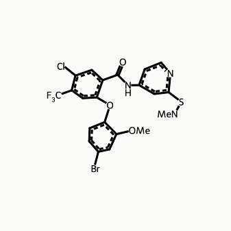 CNSc1cc(NC(=O)c2cc(Cl)c(C(F)(F)F)cc2Oc2ccc(Br)cc2OC)ccn1